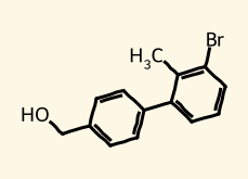 Cc1c(Br)cccc1-c1ccc(CO)cc1